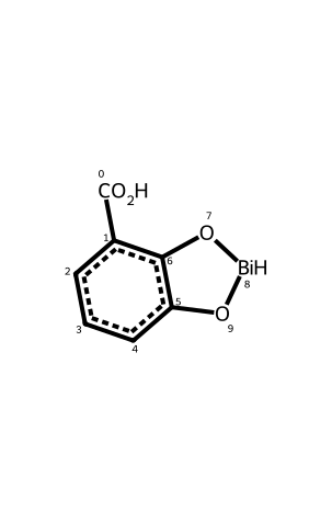 O=C(O)c1cccc2c1[O][BiH][O]2